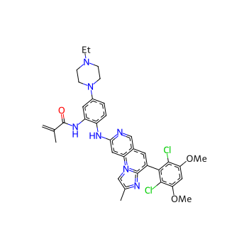 C=C(C)C(=O)Nc1cc(N2CCN(CC)CC2)ccc1Nc1cc2c(cn1)cc(-c1c(Cl)c(OC)cc(OC)c1Cl)c1nc(C)cn12